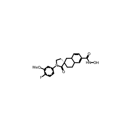 COc1cc(N2CC[C@]3(CCC4C=C(C(=O)NO)C=CC4C3)C2=O)ccc1F